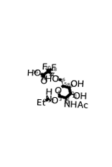 CCNO[C@H]1O[C@H](CO)[C@@H](O)[C@H](O)[C@H]1NC(C)=O.O=C(O)C(F)(F)F